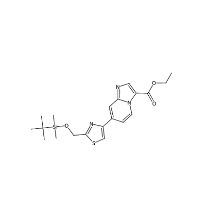 CCOC(=O)c1cnc2cc(-c3csc(CO[Si](C)(C)C(C)(C)C)n3)ccn12